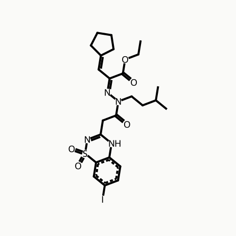 CCOC(=O)/C(C=C1CCCC1)=N\N(CCC(C)C)C(=O)CC1=NS(=O)(=O)c2cc(I)ccc2N1